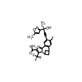 Cc1cc([C@](C)(O)C#Cc2cc3c(cc2F)C2CC(C2)n2c-3nc(C(N)=O)c2C(F)(F)F)no1